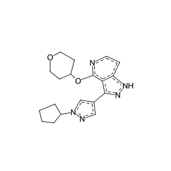 c1cc2[nH]nc(-c3cnn(C4CCCC4)c3)c2c(OC2CCOCC2)n1